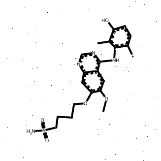 COc1cc2c(Nc3c(F)ccc(O)c3C)ncnc2cc1OCCCCS(N)(=O)=O